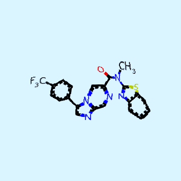 CN(C(=O)c1cn2c(-c3ccc(C(F)(F)F)cc3)cnc2cn1)c1nc2ccccc2s1